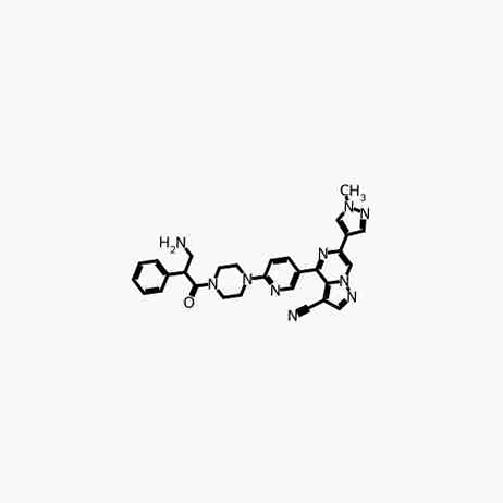 Cn1cc(-c2cn3ncc(C#N)c3c(-c3ccc(N4CCN(C(=O)C(CN)c5ccccc5)CC4)nc3)n2)cn1